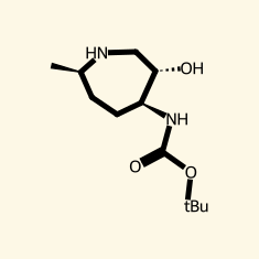 C[C@@H]1CC[C@H](NC(=O)OC(C)(C)C)[C@@H](O)CN1